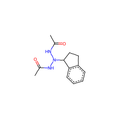 CC(=O)NN(NC(C)=O)C1CCc2ccccc21